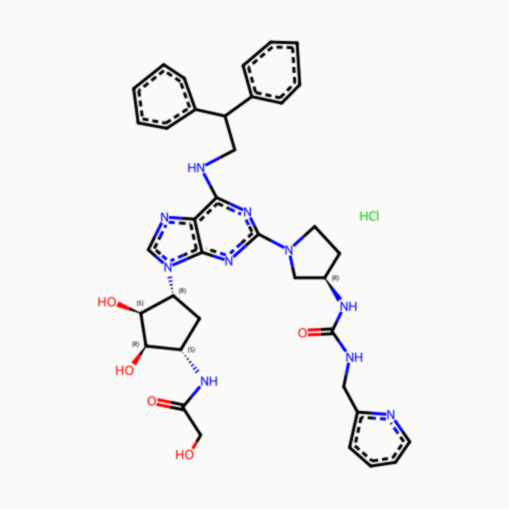 Cl.O=C(CO)N[C@H]1C[C@@H](n2cnc3c(NCC(c4ccccc4)c4ccccc4)nc(N4CC[C@@H](NC(=O)NCc5ccccn5)C4)nc32)[C@H](O)[C@@H]1O